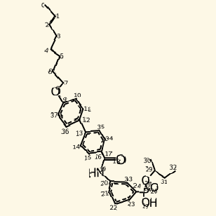 CCCCCCCCOc1ccc(-c2ccc(C(=O)Nc3cccc(P(=O)(O)OC(C)CC)c3)cc2)cc1